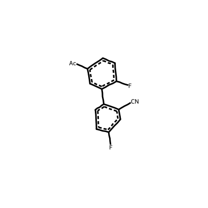 CC(=O)c1ccc(F)c(-c2ccc(F)cc2C#N)c1